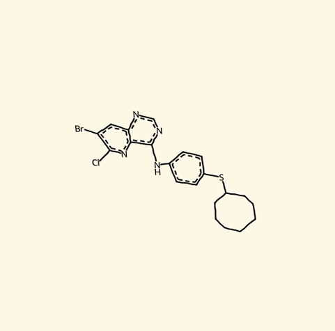 Clc1nc2c(Nc3ccc(SC4CCCCCCC4)cc3)ncnc2cc1Br